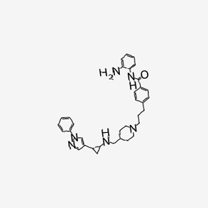 Nc1ccccc1NC(=O)c1ccc(CCCN2CCC(CNC3CC3c3cnn(-c4ccccc4)c3)CC2)cc1